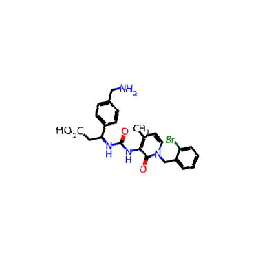 Cc1ccn(Cc2ccccc2Br)c(=O)c1NC(=O)NC(CC(=O)O)c1ccc(CN)cc1